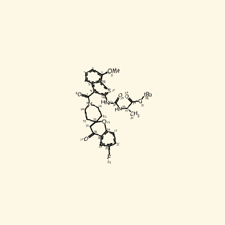 COc1cccc2c(C(=O)N3CCC4(CC3)CC(=O)c3cc(F)ccc3O4)c(NC(=O)N[C@H](C)C(=O)OC(C)(C)C)sc12